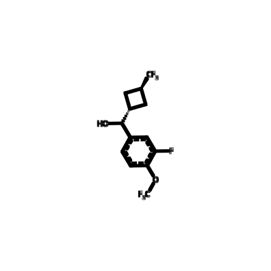 OC(c1ccc(OC(F)(F)F)c(F)c1)[C@H]1C[C@H](C(F)(F)F)C1